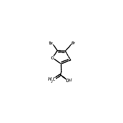 C=C(O)c1cc(Br)c(Br)o1